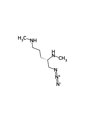 CNCCC[C@@H](CN=[N+]=[N-])NC